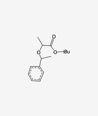 CCC(C)OC(=O)C(C)OC(C)c1ccccc1